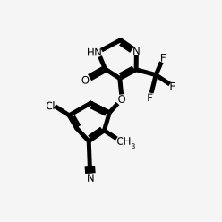 Cc1c(C#N)cc(Cl)cc1Oc1c(C(F)(F)F)nc[nH]c1=O